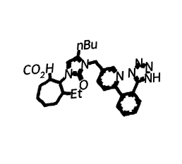 CCCCc1cn(C2C(CC)CCCCC2C(=O)O)c(=O)n1Cc1ccc(-c2ccccc2-c2nnn[nH]2)nc1